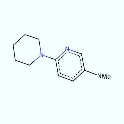 CNc1ccc(N2CCCCC2)nc1